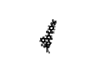 CC(F)(F)[C@@]1(N)CCN(c2ncc(C(=O)Nc3ccc(OC(F)(F)F)cc3)cc2-c2cncnc2)C1